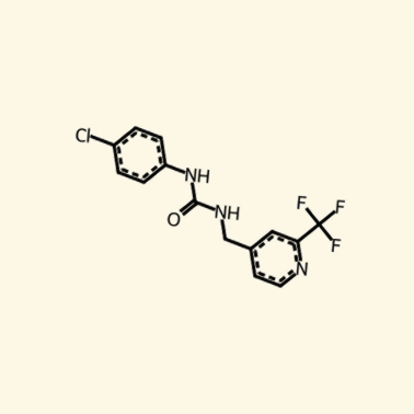 O=C(NCc1ccnc(C(F)(F)F)c1)Nc1ccc(Cl)cc1